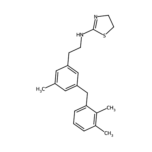 Cc1cc(CCNC2=NCCS2)cc(Cc2cccc(C)c2C)c1